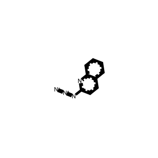 [N-]=[N+]=Nc1ccc2ccccc2n1